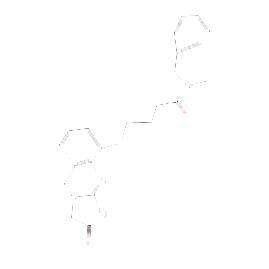 CN(Cc1ccccc1)C(=O)CCCOc1cccc2c1N=C1NC(=O)CN1C2